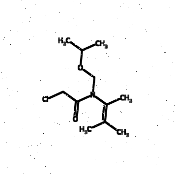 CC(C)=C(C)N(COC(C)C)C(=O)CCl